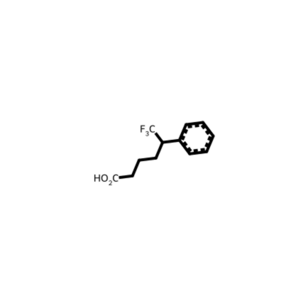 O=C(O)CCCC(c1ccccc1)C(F)(F)F